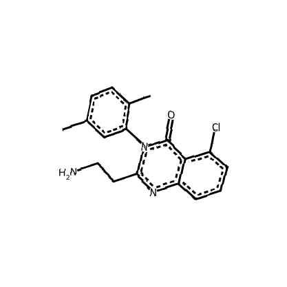 Cc1ccc(C)c(-n2c(CCN)nc3cccc(Cl)c3c2=O)c1